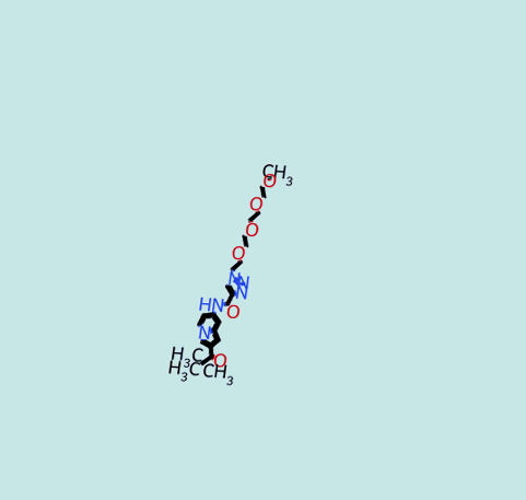 COCCOCCOCCOCCn1cc(C(=O)Nc2ccn3cc(C(=O)C(C)(C)C)cc3c2)nn1